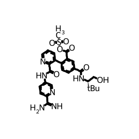 CC(C)(C)[C@@H](CO)NC(=O)c1ccc(-c2cccnc2C(=O)Nc2ccc(C(=N)N)nc2)c(C(=O)OS(C)(=O)=O)c1